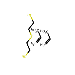 C=CC(=O)O.C=CC(=O)O.SCCSCCS